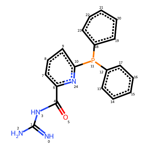 N=C(N)NC(=O)c1cccc(P(c2ccccc2)c2ccccc2)n1